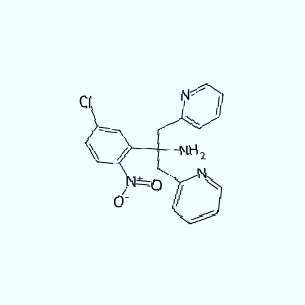 NC(Cc1ccccn1)(Cc1ccccn1)c1cc(Cl)ccc1[N+](=O)[O-]